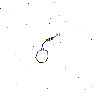 CCC#CCN1CCCCCC1